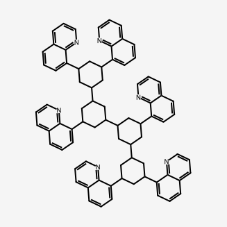 c1cnc2c(C3CC(c4cccc5cccnc45)CC(C4CC(c5cccc6cccnc56)CC(C5CC(c6cccc7cccnc67)CC(C6CC(c7cccc8cccnc78)CC(c7cccc8cccnc78)C6)C5)C4)C3)cccc2c1